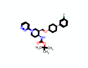 CC(C)(C)OC(=O)N[C@H]1CCN(c2cccnn2)C[C@H]1CO[C@H]1CC[C@@H](c2cccc(F)c2)CC1